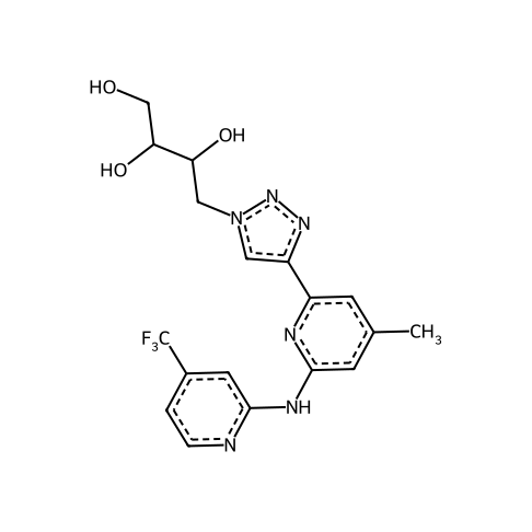 Cc1cc(Nc2cc(C(F)(F)F)ccn2)nc(-c2cn(CC(O)C(O)CO)nn2)c1